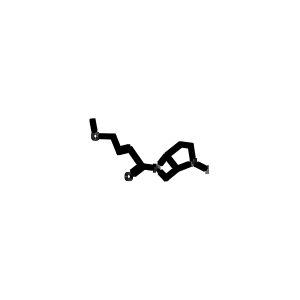 COC/C=C/C(=O)N1CC2C1CCN2I